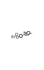 CCC(Cl)Oc1ccc(-c2cn3cc(C)ccc3n2)cc1